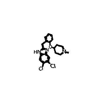 CN1CCC(Oc2ccccc2Cc2nc3cc(Cl)c(Cl)cc3[nH]2)CC1